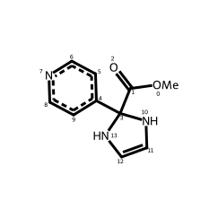 COC(=O)C1(c2ccncc2)NC=CN1